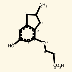 NC1Cc2cc(O)cc(OCCC(=O)O)c2C1